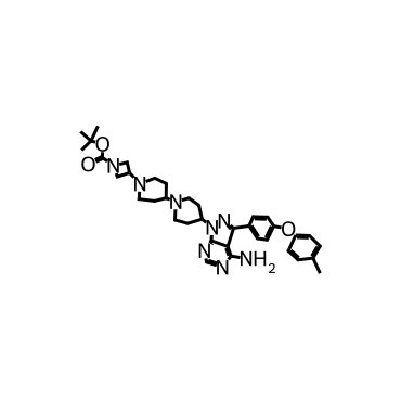 Cc1ccc(Oc2ccc(-c3nn(C4CCN(C5CCN(C6CN(C(=O)OC(C)(C)C)C6)CC5)CC4)c4ncnc(N)c34)cc2)cc1